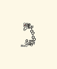 COC(=O)NC(C(=O)N1CCC[C@H]1c1ncc(-c2ccc3cc(-c4ccc5c(ccc6nc([C@@H]7[C@H]8CC[C@H](C8)N7C(=O)[C@H](NC(=O)OC)c7ccccc7)[nH]c65)c4)ccc3c2)[nH]1)C1CCOCC1